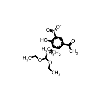 C=C.CC(=O)c1ccc(O)c([N+](=O)[O-])c1.CCOC(C)OCC